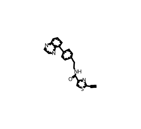 C#Cc1nc(C(=O)NCCc2ccc(-c3cccc4nccnc34)cc2)cs1